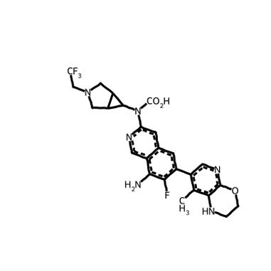 Cc1c(-c2cc3cc(N(C(=O)O)C4C5CN(CC(F)(F)F)CC54)ncc3c(N)c2F)cnc2c1NCCO2